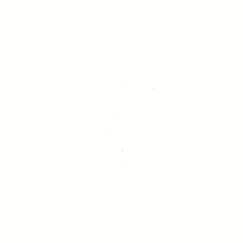 COC(=O)C(c1ccc(Cl)c(Cl)c1)C1CCCC1